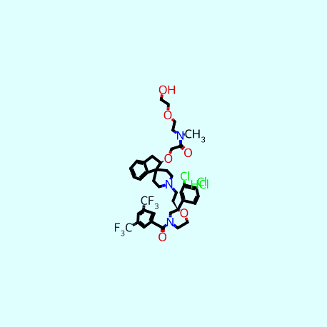 CN(CCOCCO)C(=O)CO[C@H]1Cc2ccccc2C12CCN(CC[C@]1(c3ccc(Cl)c(Cl)c3)CN(C(=O)c3cc(C(F)(F)F)cc(C(F)(F)F)c3)CCO1)CC2.Cl